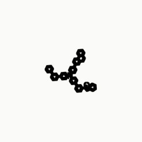 c1ccc(-c2cccc(-c3ccc(N(c4ccc(-c5cccc(-c6cc7ccccc7o6)c5)cc4)c4ccc(-c5ccc6c(ccc7ccccc76)c5)cc4)cc3)c2)cc1